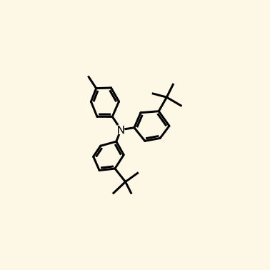 Cc1ccc(N(c2cccc(C(C)(C)C)c2)c2cccc(C(C)(C)C)c2)cc1